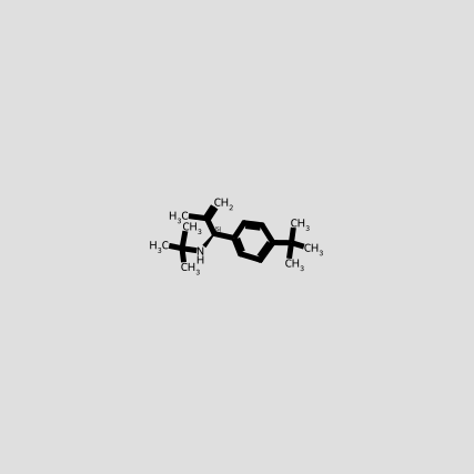 C=C(C)[C@H](NC(C)(C)C)c1ccc(C(C)(C)C)cc1